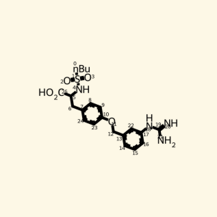 CCCCS(=O)(=O)NC(Cc1ccc(OCc2cccc(NC(=N)N)c2)cc1)C(=O)O